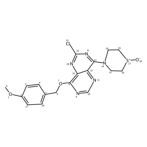 COc1ccc(COc2ncnc3c(N4CC[S+]([O-])CC4)nc(Cl)nc23)cc1